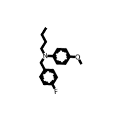 CCCCN(Cc1ccc(F)cc1)c1ccc(OC)cc1